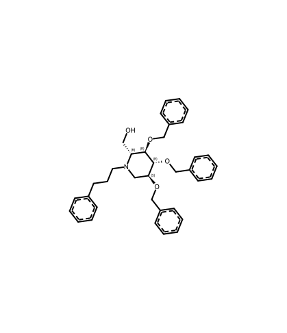 OC[C@@H]1[C@@H](OCc2ccccc2)[C@H](OCc2ccccc2)[C@@H](OCc2ccccc2)CN1CCCc1ccccc1